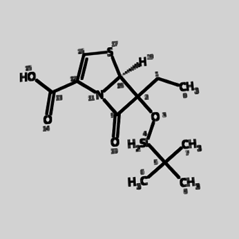 CCC1(O[SiH2]C(C)(C)C)C(=O)N2C(C(=O)O)=CS[C@H]21